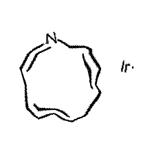 [Ir].c1ccncc1